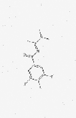 C/C(=N\C(=O)c1cc(F)c(C)c(I)c1)N(C)C